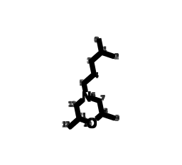 CC(C)CCCN1CC(C)OC(C)C1